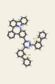 c1ccc2c(c1)-c1cc(-c3cc(-c4cccc5c4sc4ccccc45)nc(-c4cccc5c4sc4ccccc45)n3)ccc1-n1c3ccccc3c3cccc-2c31